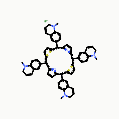 CN1CC=Cc2cc(-c3c4nc(c(-c5ccc6c(c5)C=CCN6C)c5ccc(s5)c(-c5ccc6c(c5)C=CCN6C)c5nc(c(-c6ccc7c(c6)C=CCN7C)c6ccc3s6)C=C5)C=C4)ccc21.Cl